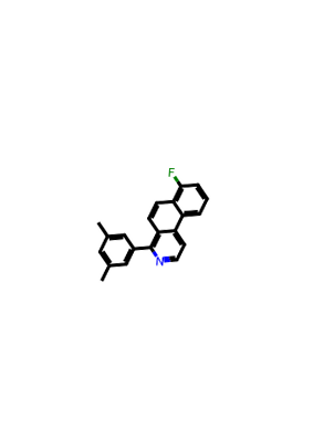 Cc1cc(C)cc(-c2nccc3c2ccc2c(F)cccc23)c1